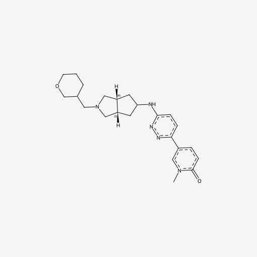 Cn1cc(-c2ccc(NC3C[C@@H]4CN(CC5CCCOC5)C[C@@H]4C3)nn2)ccc1=O